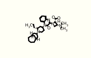 CCC[C@@H]1C[C@H](n2c(=O)c(N3C[C@@H](N(C)C)[C@H]3C(=O)O)nc3ccccc32)CCN1[C@@H]1C[C@@H]2CCCC[C@@H](C2)C1